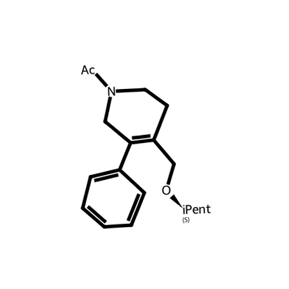 CCC[C@H](C)OCC1=C(c2ccccc2)CN(C(C)=O)CC1